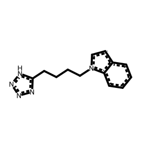 [c]1cn(CCCCc2nnn[nH]2)c2ccccc12